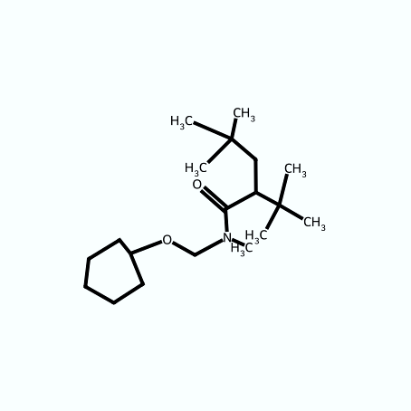 CN(COC1CCCCC1)C(=O)C(CC(C)(C)C)C(C)(C)C